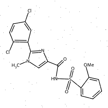 COc1ccccc1S(=O)(=O)NC(=O)c1cn(C)c(-c2cc(Cl)ccc2Cl)n1